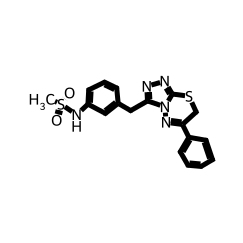 CS(=O)(=O)Nc1cccc(Cc2nnc3n2N=C(c2ccccc2)CS3)c1